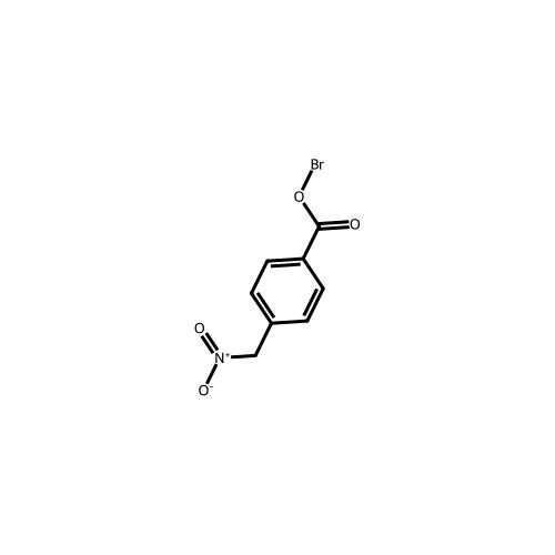 O=C(OBr)c1ccc(C[N+](=O)[O-])cc1